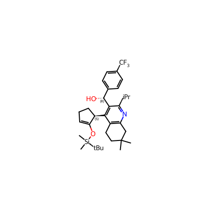 CC(C)c1nc2c(c([C@@H]3CCC=C3O[Si](C)(C)C(C)(C)C)c1[C@H](O)c1ccc(C(F)(F)F)cc1)CCC(C)(C)C2